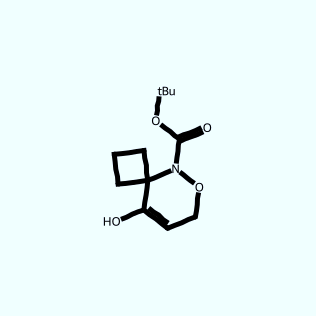 CC(C)(C)OC(=O)N1OCC=C(O)C12CCC2